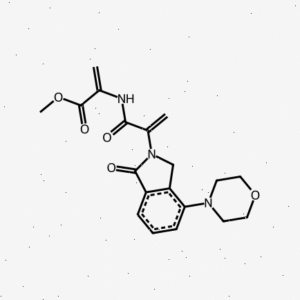 C=C(NC(=O)C(=C)N1Cc2c(cccc2N2CCOCC2)C1=O)C(=O)OC